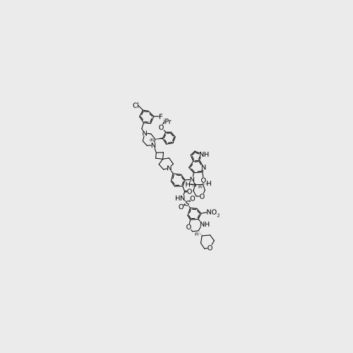 CC(C)Oc1ccccc1[C@@H]1CN(Cc2cc(F)cc(Cl)c2)CCN1C1CC2(CCN(c3ccc(C(=O)NS(=O)(=O)c4cc5c(c([N+](=O)[O-])c4)N[C@H](C4CCOCC4)CO5)c(N4c5cc6cc[nH]c6nc5O[C@H]5COCC[C@@H]54)c3)CC2)C1